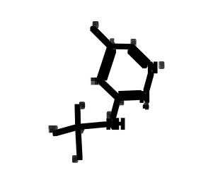 Cc1cnnc(NC(C)(C)C)c1